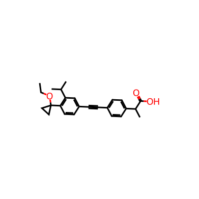 CCOC1(c2ccc(C#Cc3ccc(C(C)C(=O)O)cc3)cc2C(C)C)CC1